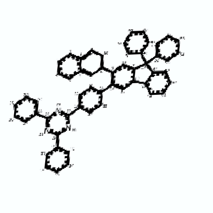 C1=c2ccccc2=CC(c2cc3c(cc2-c2ccc(-c4nc(-c5ccccc5)nc(-c5ccccc5)n4)cc2)-c2ccccc2C3(c2ccccc2)c2ccccc2)C1